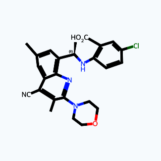 Cc1cc([C@@H](C)Nc2ccc(Cl)cc2C(=O)O)c2nc(N3CCOCC3)c(C)c(C#N)c2c1